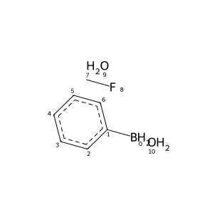 Bc1ccccc1.CF.O.O